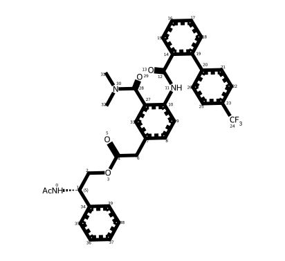 CC(=O)N[C@H](COC(=O)Cc1ccc(NC(=O)c2ccccc2-c2ccc(C(F)(F)F)cc2)c(C(=O)N(C)C)c1)c1ccccc1